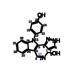 OC/N=C\c1c(-c2cc[nH]n2)n(-c2ccc(O)cc2)c2ccccc12